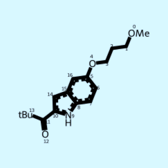 COCCCOc1ccc2[nH]c(C(=O)C(C)(C)C)cc2c1